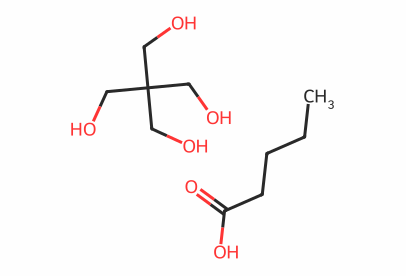 CCCCC(=O)O.OCC(CO)(CO)CO